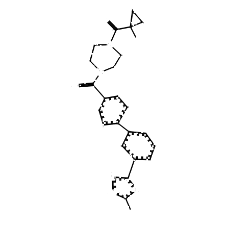 Cc1nc(-c2cccc(-c3ccc(C(=O)N4CCN(C(=O)C5(O)CC5)CC4)cc3)c2)no1